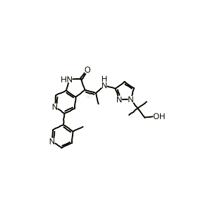 C/C(Nc1ccn(C(C)(C)CO)n1)=C1/C(=O)Nc2cnc(-c3cnccc3C)cc21